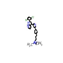 CN(C)CCCCc1ccc(-c2cncc(-c3cc(-c4cc(Cl)ccc4F)nc4ncccc34)c2)cc1